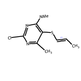 C/C=C/Sc1c(C)nc(Cl)nc1NC